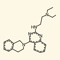 CCN(CC)CCNc1nc(N2CCc3ccccc3C2)c2ccccc2n1